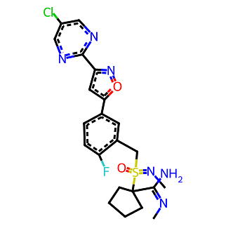 CN=S(=O)(Cc1cc(-c2cc(-c3ncc(Cl)cn3)no2)ccc1F)C1(/C(N)=N\C)CCCC1